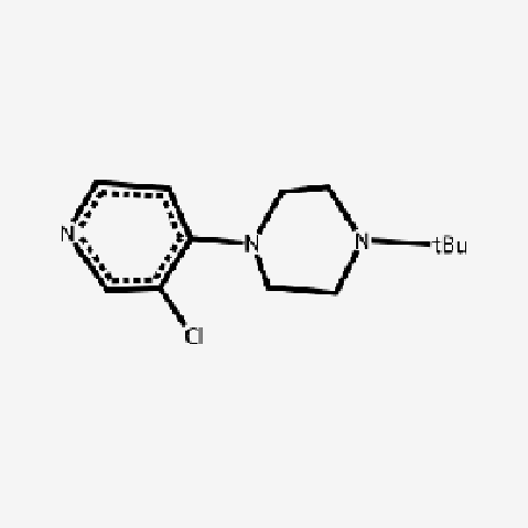 CC(C)(C)N1CCN(c2ccncc2Cl)CC1